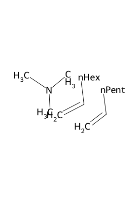 C=CCCCCC.C=CCCCCCC.CN(C)C